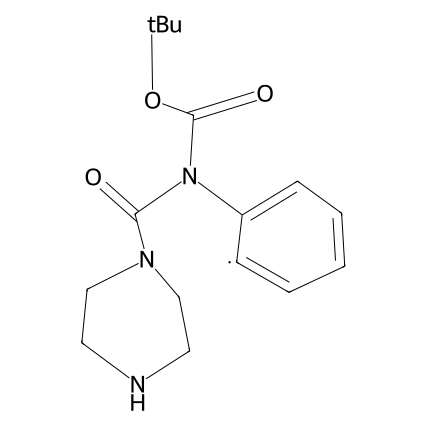 CC(C)(C)OC(=O)N(C(=O)N1CCNCC1)c1[c]cccc1